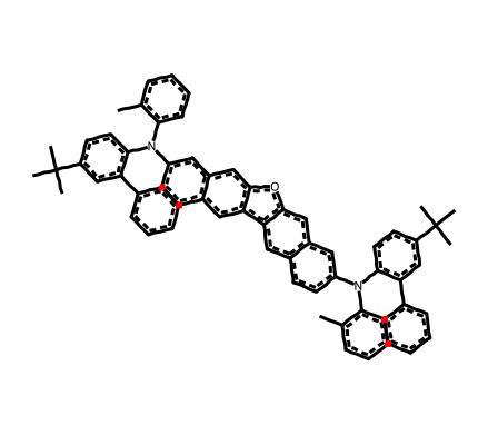 Cc1ccccc1N(c1ccc2cc3c(cc2c1)oc1cc2cc(N(c4ccccc4C)c4ccc(C(C)(C)C)cc4-c4ccccc4)ccc2cc13)c1ccc(C(C)(C)C)cc1-c1ccccc1